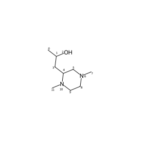 CC(O)CC1CN(C)CCN1C